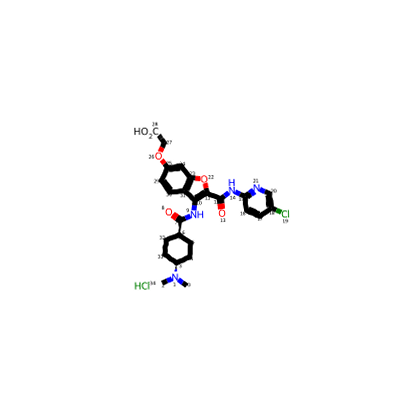 CN(C)[C@H]1CC[C@H](C(=O)Nc2c(C(=O)Nc3ccc(Cl)cn3)oc3cc(OCC(=O)O)ccc23)CC1.Cl